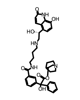 O=C(NCCCCNC[C@H](O)c1ccc(O)c2[nH]c(=O)ccc12)c1cccc(C(O)(C(=O)OC2CN3CCC2CC3)c2ccccc2)c1